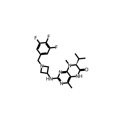 Cc1nc(NC2CN(Cc3cc(F)c(F)c(F)c3)C2)nc2c1NC(=O)[C@H](C(C)C)N2C